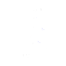 CCOC(=O)/C=C/c1cncc(Oc2cc(C(=O)O)cc(Cl)n2)c1C